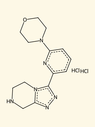 Cl.Cl.c1cc(-c2nnc3n2CCNC3)nc(N2CCOCC2)c1